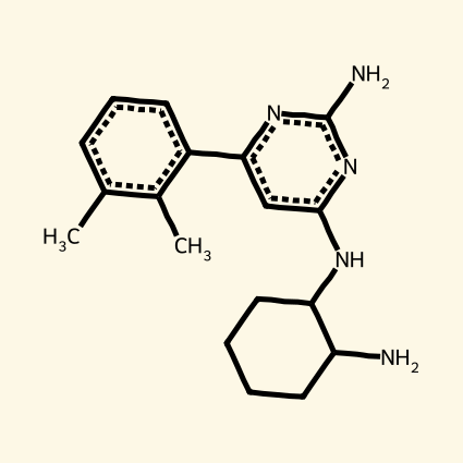 Cc1cccc(-c2cc(NC3CCCCC3N)nc(N)n2)c1C